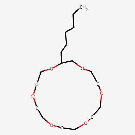 CCCCCCC1COCCOCCOCCOCCOCCO1